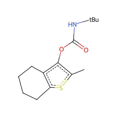 Cc1sc2c(c1OC(=O)NC(C)(C)C)CCCC2